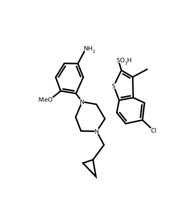 COc1ccc(N)cc1N1CCN(CC2CC2)CC1.Cc1c(S(=O)(=O)O)sc2ccc(Cl)cc12